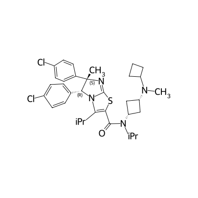 CC(C)C1=C(C(=O)N(C(C)C)[C@H]2C[C@@H](N(C)C3CCC3)C2)SC2=N[C@@](C)(c3ccc(Cl)cc3)[C@@H](c3ccc(Cl)cc3)N21